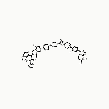 O=C1CC[C@H](Nc2ccc(N3CCC(F)(CC(=O)N4CCN(c5ccc(-c6cc(F)c7c(c6)C(=O)N(C(C(=O)Nc6nccs6)c6ncn8c6CCC8)C7)cc5)CC4)CC3)c(F)c2)C(=O)N1